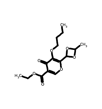 CCCCOc1c(C2OC(C)O2)occ(C(=O)OCC)c1=O